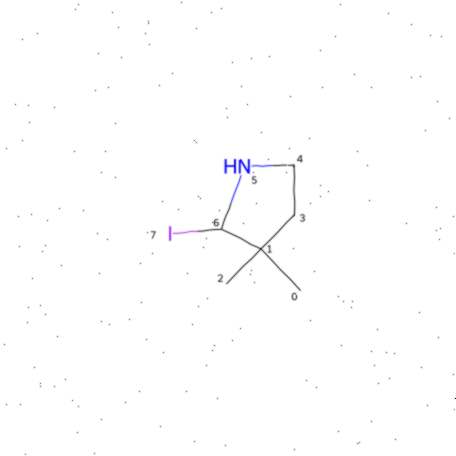 CC1(C)CCNC1I